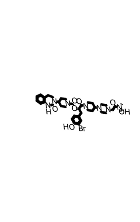 CN(O)C(=O)CN1CCN(C2CCN(C(=O)C(Cc3ccc(O)c(Br)c3)OC(=O)N3CCC(N4CCc5ccccc5NC4=O)CC3)CC2)CC1